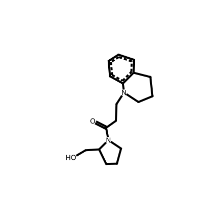 O=C(CCN1CCCc2ccccc21)N1CCCC1CO